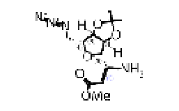 COC(=O)/C=C(/N)[C@@H]1O[C@H](CN=[N+]=[N-])[C@H]2OC(C)(C)O[C@H]21